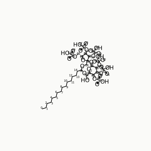 CCCCCCCCCCCCCCCC(=O)OC[C@@]1(O[C@H]2O[C@H](CO)[C@@H](OS(=O)(=O)O)[C@H](OS(=O)(=O)O)[C@H]2OS(=O)(=O)O)O[C@H](COS(=O)(=O)O)[C@@H](OS(=O)(=O)O)[C@@H]1OS(=O)(=O)O